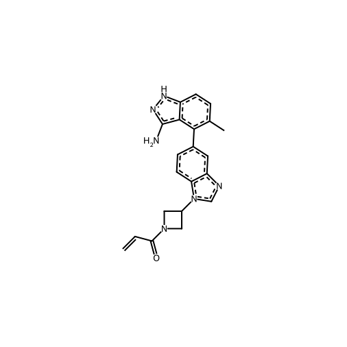 C=CC(=O)N1CC(n2cnc3cc(-c4c(C)ccc5[nH]nc(N)c45)ccc32)C1